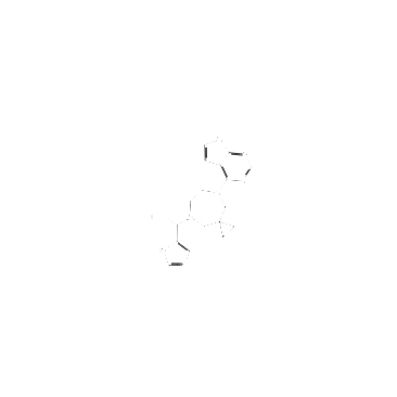 O=CC(c1cnc[nH]1)N1CCN(c2ncnc3[nH]ccc23)CC2(CC2)C1